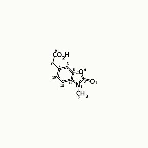 Cn1c(=O)oc2cc(CC(=O)O)ccc21